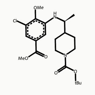 COC(=O)c1cc(Cl)c(OC)c(N[C@@H](C)C2CCN(C(=O)OC(C)(C)C)CC2)c1